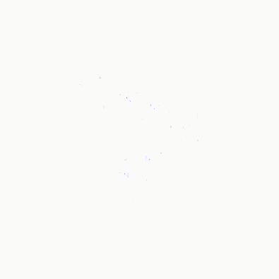 CN(CC1CCCCN1C)c1ccc(C(F)(F)F)c(CN2CCN(c3ccc(Cl)cc3)CC2)c1